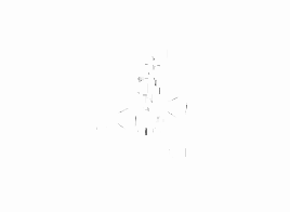 CCOC(=O)[C@@H]1c2ccccc2C(=O)N([C@@H]2CCCC[C@H]2NS(C)(=O)=O)[C@H]1c1ccc(Cl)cc1Cl